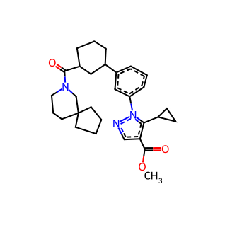 COC(=O)c1cnn(-c2cccc(C3CCCC(C(=O)N4CCCC5(CCCC5)C4)C3)c2)c1C1CC1